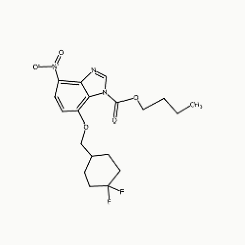 CCCCOC(=O)n1cnc2c([N+](=O)[O-])ccc(OCC3CCC(F)(F)CC3)c21